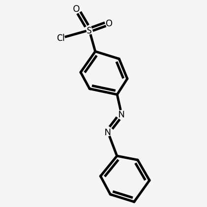 O=S(=O)(Cl)c1ccc(/N=N/c2ccccc2)cc1